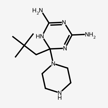 CC(C)(C)CC1(N2CCNCC2)N=C(N)N=C(N)N1